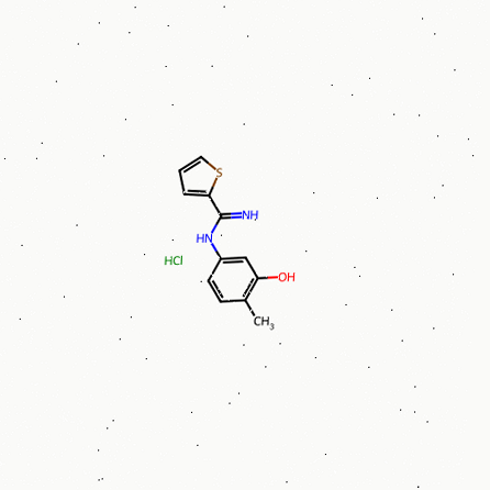 Cc1ccc(NC(=N)c2cccs2)cc1O.Cl